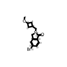 COC1CC(CN2Cc3cc(Br)ccc3C2=O)C1